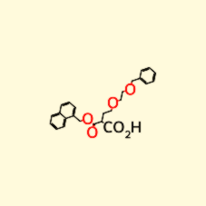 O=C(O)C(CCOCCOCc1ccccc1)C(=O)OCc1cccc2ccccc12